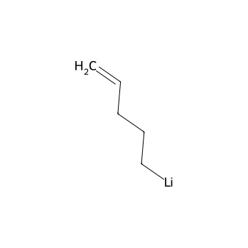 [Li][CH2]CCC=C